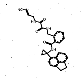 N#C/C=C/CNC(=O)C(=O)NCc1ccccc1C(=O)NC1(c2ccc3c4c(cccc24)CC3)CC1